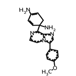 COc1ccc(-c2cnc3c(C4(N)C=CC(N)=CC4)nccn23)cc1